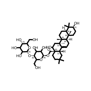 CC1(C)CC[C@]2(C(=O)O[C@H]3OC(CO)[C@H](O[C@H]4OC(CO)[C@@H](O)C(O)C4O)C(O)C3O)C(O)C[C@]3(C)C(=CC[C@@H]4[C@@]5(C)CC[C@H](O)C(C)(C)[C@@H]5CC[C@]43C)[C@@H]2C1